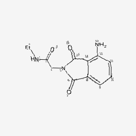 CCNC(=O)CN1C(=O)c2cccc(N)c2C1=O